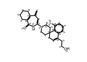 C=C1C=C(N2CCC3(CC=C(CCO)c4cccc(C(F)(F)F)c43)CC2)NC(=O)C2=C1CCCC2